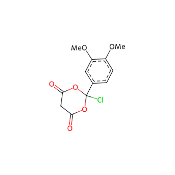 COc1ccc(C2(Cl)OC(=O)CC(=O)O2)cc1OC